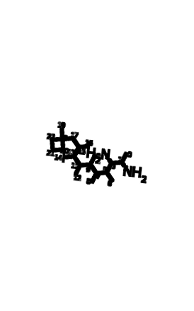 CC(N)C(N)C(C)C(C)C(C)C(C)C(I)C(C)CC1(C)CCC1